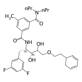 CCCN(CCC)C(=O)c1cc(C)cc(C(=O)N[C@@H](Cc2cc(F)cc(F)c2)[C@@H](O)C(O)COCCC2C=CC=CC2)c1